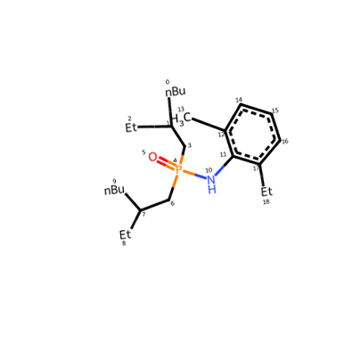 CCCCC(CC)CP(=O)(CC(CC)CCCC)Nc1c(C)cccc1CC